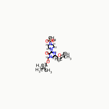 CCC(O[Si](C)(C)C(C)(C)C)c1cn(COCC[Si](C)(C)C)c(=O)c(N2CCN(S(C)(=O)=O)CC2)n1